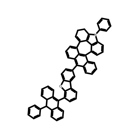 C1=CC2=C(c3cccc4c3oc3ccc(-c5c6ccccc6c6c7c(cccc57)C5=CCCc7c5c5c-6cccc5n7-c5ccccc5)cc34)c3ccccc3C(c3ccccc3)C2C=C1